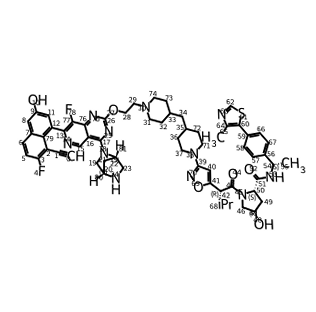 C#Cc1c(F)ccc2cc(O)cc(-c3ncc4c(N5C[C@@H]6C[C@H]5CN6)nc(OCCN5CCC(CC6CCN(c7cc([C@H](C(=O)N8C[C@H](O)C[C@H]8C(=O)N[C@@H](C)c8ccc(-c9scnc9C)cc8)C(C)C)on7)CC6)CC5)nc4c3F)c12